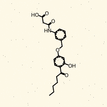 CCCCCC(=O)c1ccc(OCc2cccc(NC(=O)CC(=O)O)c2)cc1O